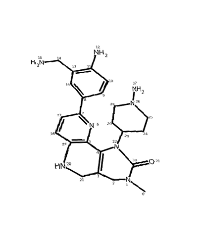 CN1CC2=C(c3nc(-c4ccc(N)c(CN)c4)ccc3NC2)N(C2CCN(N)CC2)C1=O